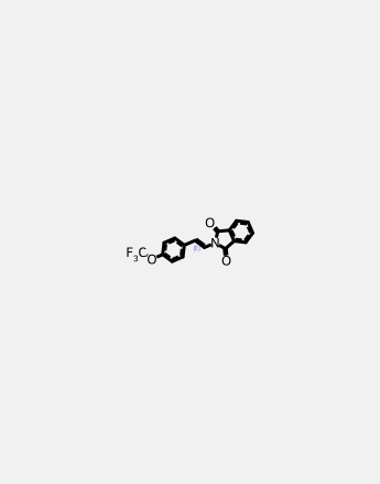 O=C1c2ccccc2C(=O)N1/C=C/c1ccc(OC(F)(F)F)cc1